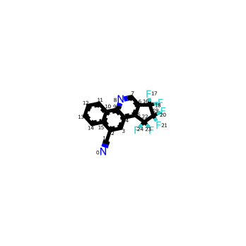 N#Cc1cc2c3c(cnc2c2ccccc12)C(F)(F)C(F)(F)C3(F)F